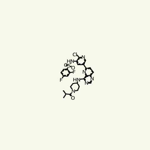 CC(C)C(=O)N1CCC(Nc2ncnc3ccc(-c4cnc(Cl)c(NS(=O)(=O)c5ccc(F)cc5F)c4)nc23)CC1